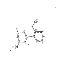 Nc1cc(Cl)cc(-c2ccccc2CO)c1